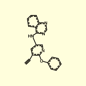 C#Cc1cc(Nc2ncnc3ccccc23)cnc1Oc1ccccc1